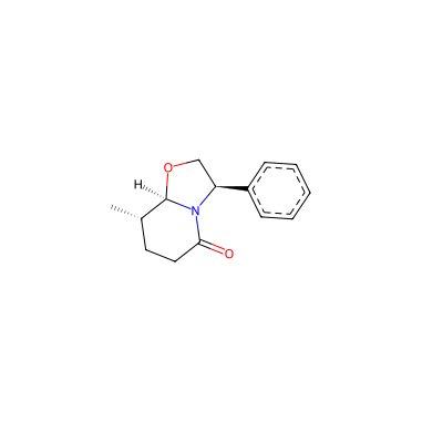 C[C@H]1CCC(=O)N2[C@@H]1OC[C@H]2c1ccccc1